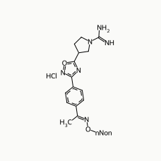 CCCCCCCCCON=C(C)c1ccc(-c2noc(C3CCN(C(=N)N)C3)n2)cc1.Cl